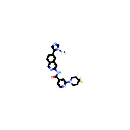 Cn1cncc1-c1ccc2cnc(NC(=O)c3ccnc(N4CCC(F)(F)CC4)c3)cc2c1